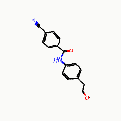 N#Cc1ccc(C(=O)Nc2ccc(CC[O])cc2)cc1